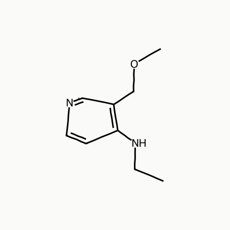 CCNc1ccn[c]c1COC